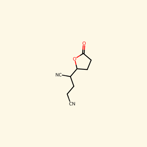 N#CCCC(C#N)C1CCC(=O)O1